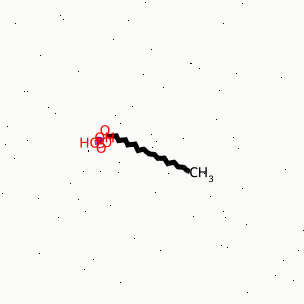 CCCCCCCCCCCCCCCCCC(=O)OP(=O)(O)O